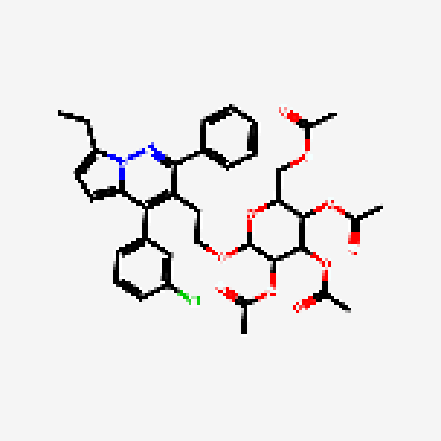 CCc1ccc2c(-c3cccc(Cl)c3)c(CCOC3OC(COC(C)=O)C(OC(C)=O)C(OC(C)=O)C3OC(C)=O)c(-c3ccccc3)nn12